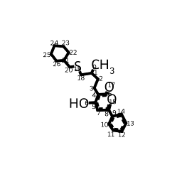 CC(CCc1c(O)cc(-c2ccccc2)oc1=O)CSCC1CCCCC1